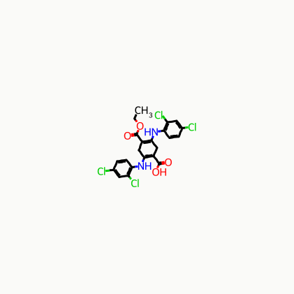 CCOC(=O)C1=C(Nc2ccc(Cl)cc2Cl)CC(C(=O)O)=C(Nc2ccc(Cl)cc2Cl)C1